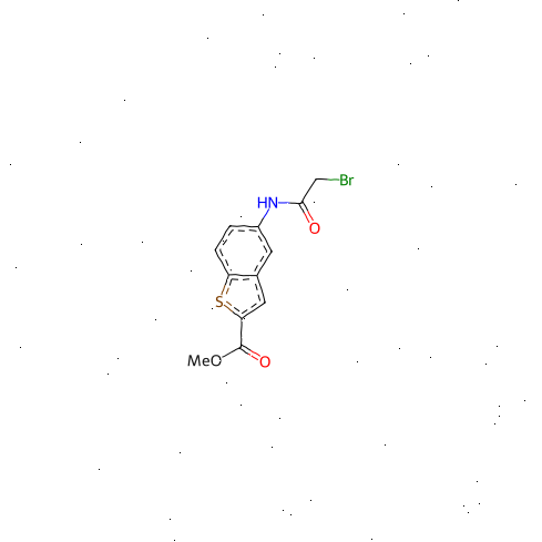 COC(=O)c1cc2cc(NC(=O)CBr)ccc2s1